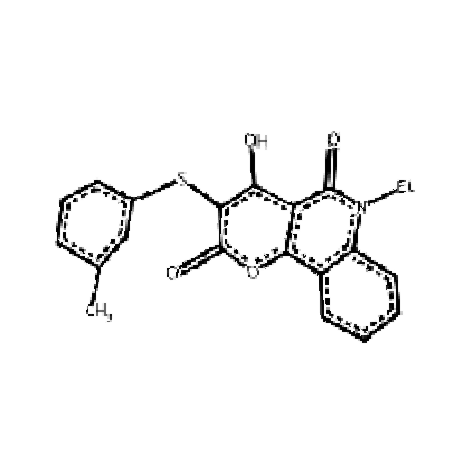 CCn1c(=O)c2c(O)c(Sc3cccc(C)c3)c(=O)oc2c2ccccc21